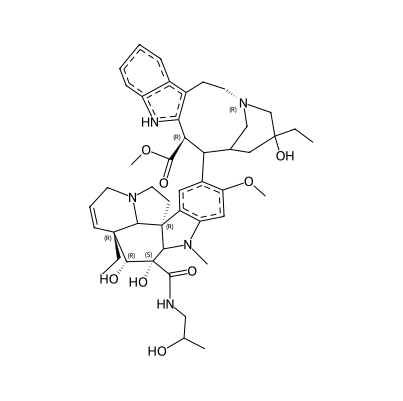 CCC1(O)CC2C[N@](CCc3c([nH]c4ccccc34)[C@H](C(=O)OC)C2c2cc3c(cc2OC)N(C)C2[C@]34CCN3CC=C[C@](CC)(C34)[C@@H](O)[C@]2(O)C(=O)NCC(C)O)C1